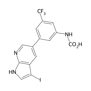 O=C(O)Nc1cc(-c2cnc3[nH]cc(I)c3c2)cc(C(F)(F)F)c1